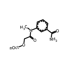 CCCCCCCCOCC(=O)N(C)c1cccc(C(N)=O)c1